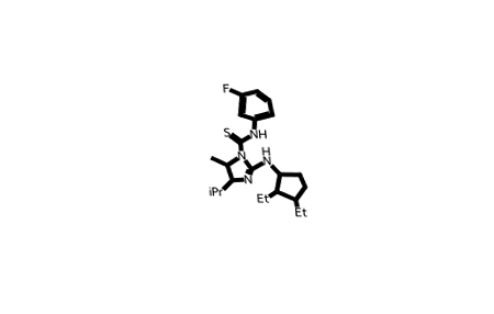 CCC1CCC(NC2=NC(C(C)C)C(C)N2C(=S)Nc2cccc(F)c2)C1CC